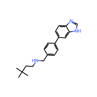 CC(C)(C)CCNCc1ccc(-c2ccc3nc[nH]c3c2)cc1